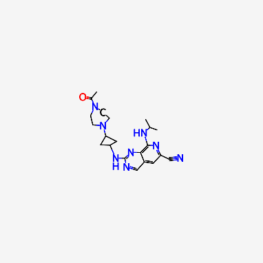 CC(=O)N1CCN(C2CC(Nc3ncc4cc(C#N)nc(NC(C)C)c4n3)C2)CC1